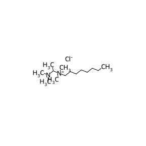 CCCCCCCC[N+](C)(C)C(C)N(C)C.[Cl-]